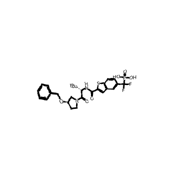 CC(C)(C)[C@H](NC(=O)c1cc2cc(C(F)(F)P(=O)(O)O)ccc2s1)C(=O)N1CC[C@@H](OCc2ccccc2)C1